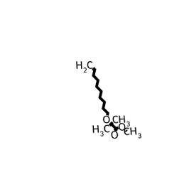 C=CCCCCCCCCOC(C)(C)C(=O)OC